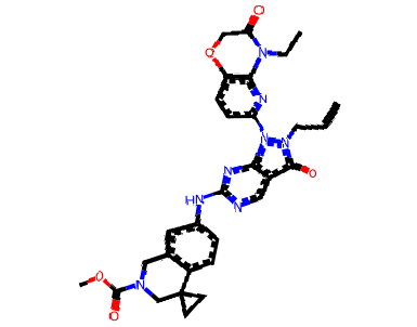 C=CCn1c(=O)c2cnc(Nc3ccc4c(c3)CN(C(=O)OC)CC43CC3)nc2n1-c1ccc2c(n1)N(CC)C(=O)CO2